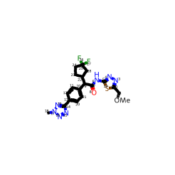 COCc1nnc(NC(=O)C(c2ccc(-c3nnn(C)n3)cc2)C2CCC(F)(F)C2)s1